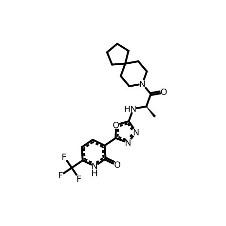 C[C@@H](Nc1nnc(-c2ccc(C(F)(F)F)[nH]c2=O)o1)C(=O)N1CCC2(CCCC2)CC1